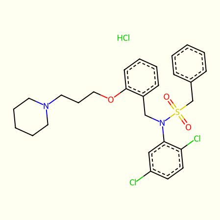 Cl.O=S(=O)(Cc1ccccc1)N(Cc1ccccc1OCCCN1CCCCC1)c1cc(Cl)ccc1Cl